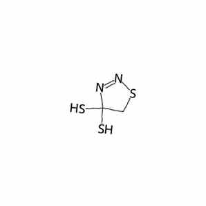 SC1(S)CSN=N1